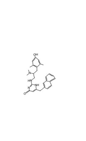 Cc1cc(O)cc(C)c1CC(CNc1nc(=O)cc(Cc2ccc3ccccc3c2)[nH]1)N(C)C